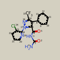 NC(=O)NC(=O)c1c(-c2ccccc2)c(C(F)(F)F)nn1-c1ncccc1Cl